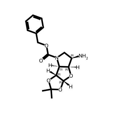 CC1(C)O[C@H]2O[C@H]3[C@@H]([C@H]2O1)N(C(=O)OCc1ccccc1)C[C@H]3N